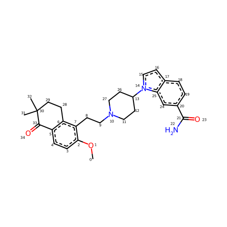 COc1ccc2c(c1CCN1CCC(n3ccc4ccc(C(N)=O)cc43)CC1)CCC(C)(C)C2=O